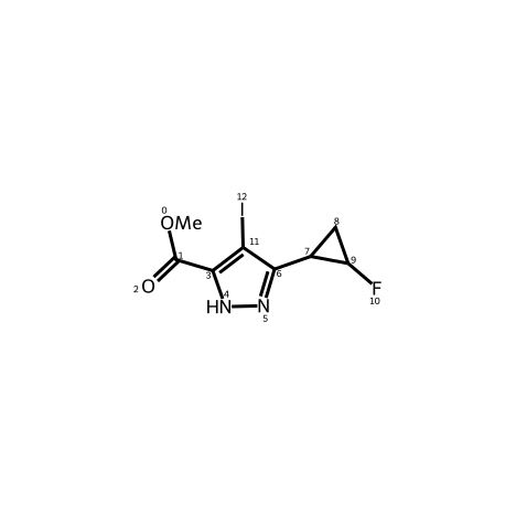 COC(=O)c1[nH]nc(C2CC2F)c1I